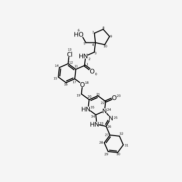 O=C(NCC1(CO)CCCC1)c1c(Cl)cccc1OCC1=CC(=O)N2N=C(C3=CC=CCC3)NC2N1